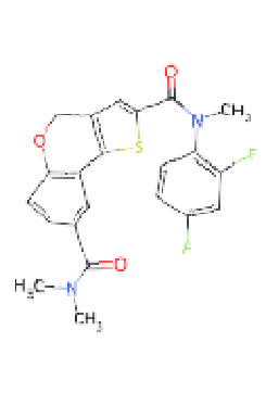 CN(C)C(=O)c1ccc2c(c1)-c1sc(C(=O)N(C)c3ccc(F)cc3F)cc1CO2